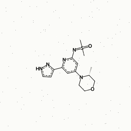 C[C@@H]1COCCN1c1cc(N=S(C)(C)=O)nc(-c2cc[nH]n2)c1